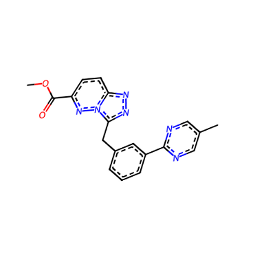 COC(=O)c1ccc2nnc(Cc3cccc(-c4ncc(C)cn4)c3)n2n1